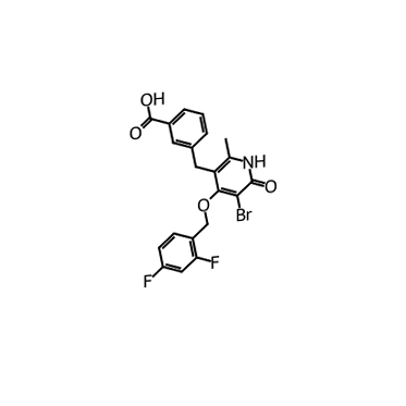 Cc1[nH]c(=O)c(Br)c(OCc2ccc(F)cc2F)c1Cc1cccc(C(=O)O)c1